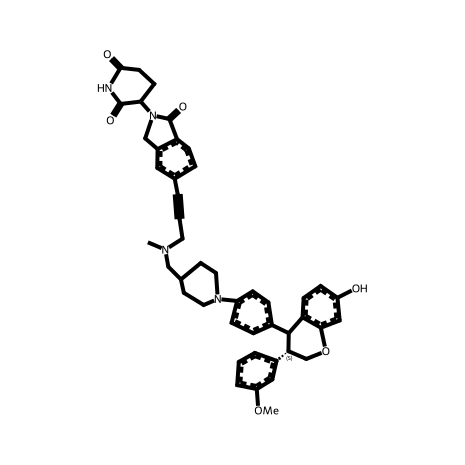 COc1cccc([C@H]2COc3cc(O)ccc3C2c2ccc(N3CCC(CN(C)CC#Cc4ccc5c(c4)CN(C4CCC(=O)NC4=O)C5=O)CC3)cc2)c1